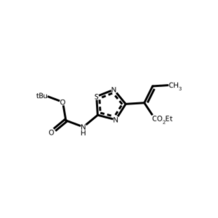 CC=C(C(=O)OCC)c1nsc(NC(=O)OC(C)(C)C)n1